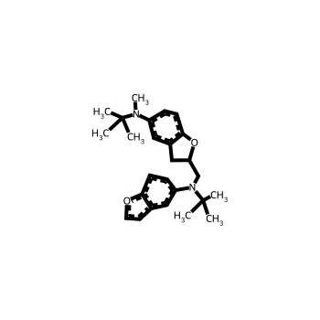 CN(c1ccc2c(c1)CC(CN(c1ccc3occc3c1)C(C)(C)C)O2)C(C)(C)C